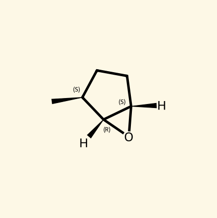 C[C@H]1CC[C@@H]2O[C@@H]21